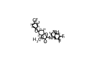 CN(C(=O)C(=O)Nc1c[nH]c2cc(F)c(F)cc12)C1CCCC(Oc2ccc(C(F)(F)F)cc2)C1